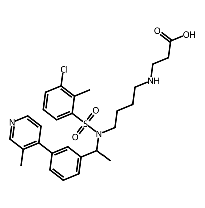 Cc1cnccc1-c1cccc(C(C)N(CCCCNCCC(=O)O)S(=O)(=O)c2cccc(Cl)c2C)c1